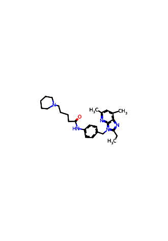 CCc1nc2c(C)cc(C)nc2n1Cc1ccc(NC(=O)CCCCN2CCCCC2)cc1